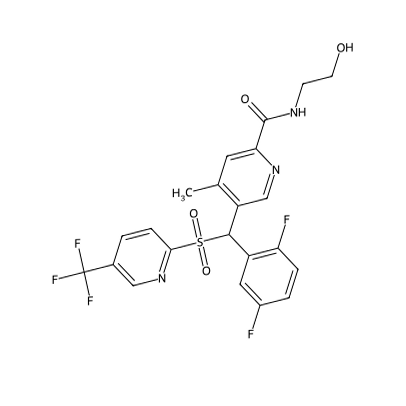 Cc1cc(C(=O)NCCO)ncc1C(c1cc(F)ccc1F)S(=O)(=O)c1ccc(C(F)(F)F)cn1